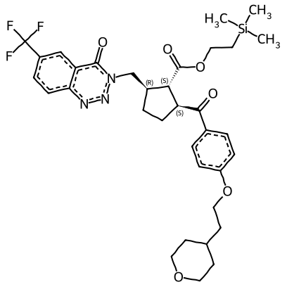 C[Si](C)(C)CCOC(=O)[C@H]1[C@H](Cn2nnc3ccc(C(F)(F)F)cc3c2=O)CC[C@@H]1C(=O)c1ccc(OCCC2CCOCC2)cc1